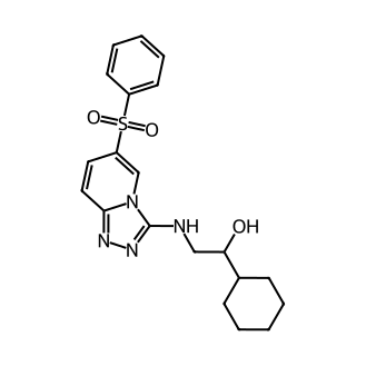 O=S(=O)(c1ccccc1)c1ccc2nnc(NCC(O)C3CCCCC3)n2c1